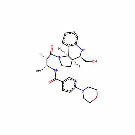 CCC[C@@H](NC(=O)c1ccc(N2CCOCC2)nc1)[C@H](C)C(=O)N1CC[C@@H]2[C@H](CO)Nc3ccccc3[C@@H]21